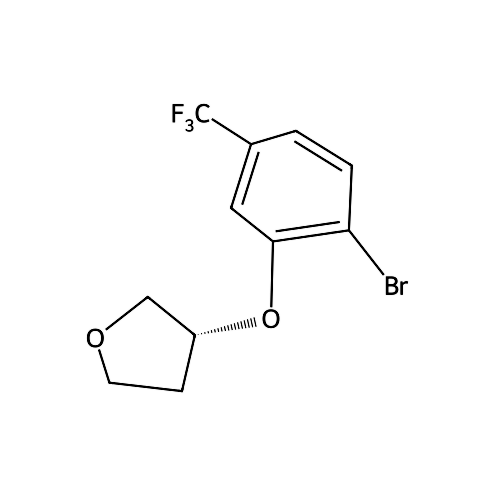 FC(F)(F)c1ccc(Br)c(O[C@@H]2CCOC2)c1